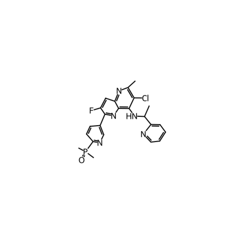 Cc1nc2cc(F)c(-c3ccc(P(C)(C)=O)nc3)nc2c(NC(C)c2ccccn2)c1Cl